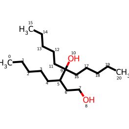 CCCCCC(CCO)C(O)(CCCCC)CCCCC